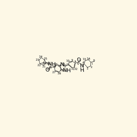 CC1CCC(NC(=O)c2ccc(-c3nc4cc(C(=O)NC5CC6CCC5C6)ccc4[nH]3)cc2)CC1